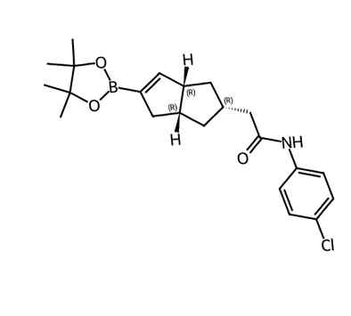 CC1(C)OB(C2=C[C@@H]3C[C@H](CC(=O)Nc4ccc(Cl)cc4)C[C@@H]3C2)OC1(C)C